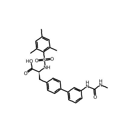 CNC(=O)Nc1cccc(-c2ccc(C[C@H](NS(=O)(=O)c3c(C)cc(C)cc3C)C(=O)O)cc2)c1